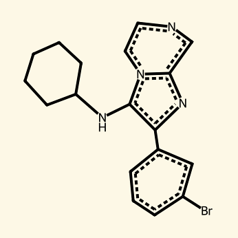 Brc1cccc(-c2nc3cnccn3c2NC2CCCCC2)c1